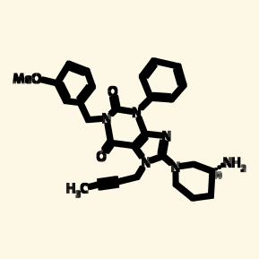 CC#CCn1c(N2CCC[C@@H](N)C2)nc2c1c(=O)n(Cc1cccc(OC)c1)c(=O)n2-c1ccccc1